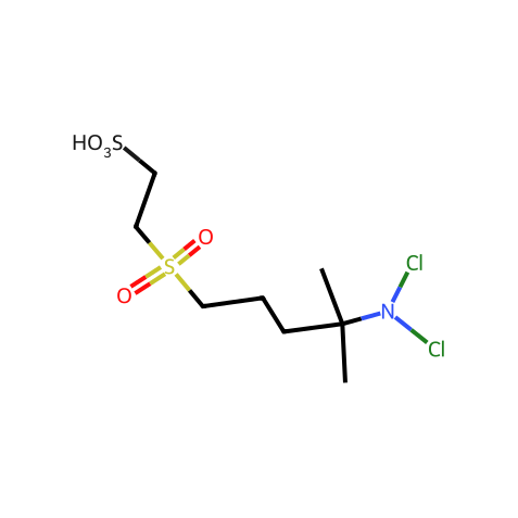 CC(C)(CCCS(=O)(=O)CCS(=O)(=O)O)N(Cl)Cl